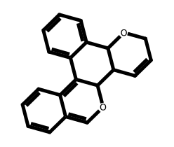 C1=CC2C3OC=c4ccccc4=C3c3ccccc3C2OC1